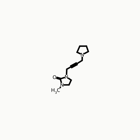 CN1CCN(CC#CCN2CCCC2)C1=O